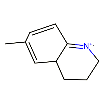 CC1=CC2CCC[N+]=C2C=C1